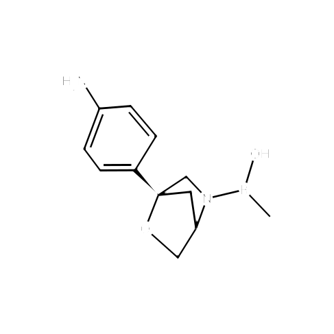 CB(O)N1C[C@]2(c3ccc(N)cc3)CC1CO2